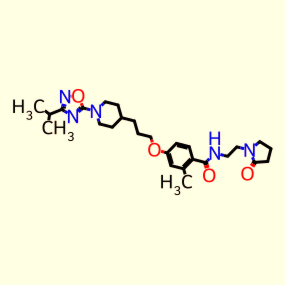 Cc1cc(OCCCC2CCN(c3nc(C(C)C)no3)CC2)ccc1C(=O)NCCN1CCCC1=O